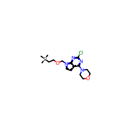 C[Si](C)(C)CCOCn1ccc2c(N3CCOCC3)nc(Cl)nc21